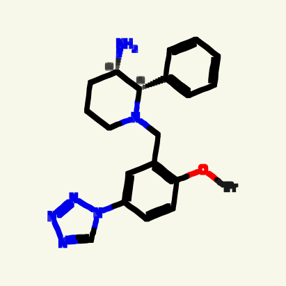 CC(C)Oc1ccc(-n2cnnn2)cc1CN1CCC[C@H](N)[C@@H]1c1ccccc1